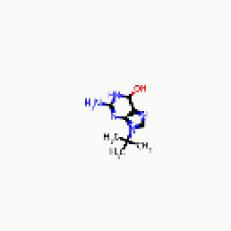 CC(C)(C)n1cnc2c1N=C(N)NC2O